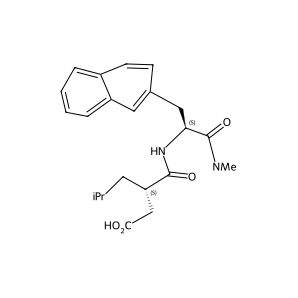 CNC(=O)[C@H](Cc1ccc2ccccc2c1)NC(=O)[C@H](CC(=O)O)CC(C)C